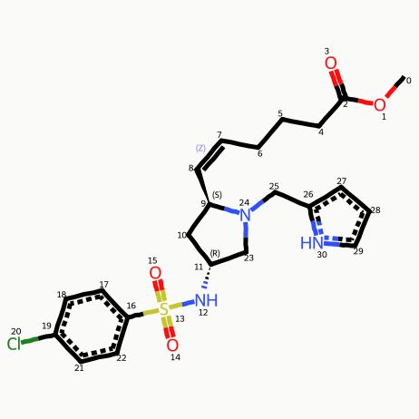 COC(=O)CCC/C=C\[C@@H]1C[C@@H](NS(=O)(=O)c2ccc(Cl)cc2)CN1Cc1ccc[nH]1